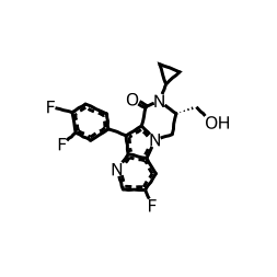 O=C1c2c(-c3ccc(F)c(F)c3)c3ncc(F)cc3n2C[C@@H](CO)N1C1CC1